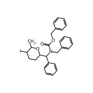 CC1OC(C(c2ccccc2)N(Cc2ccccc2)C(=O)OCc2ccccc2)CCC1I